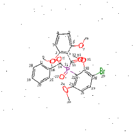 COc1cccc(OC)c1C(=O)P(=O)(C(=O)c1ccccc1)c1c(OC)ccc(Br)c1OC